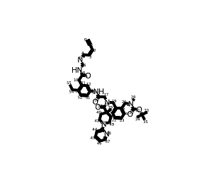 C#C/C=C\C=N/CNC(=O)Cc1cc(NC(=O)CN(Cc2ccccc2CN(C)C(=O)OC(C)(C)C)C(=O)C2(C)CCN(c3ccccn3)CC2)ccc1CC